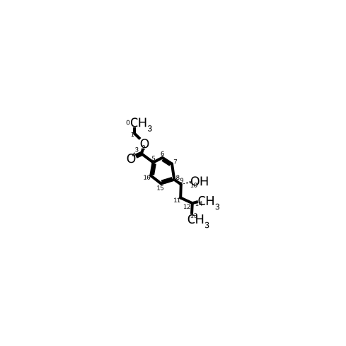 CCOC(=O)c1ccc([C@H](O)CC(C)C)cc1